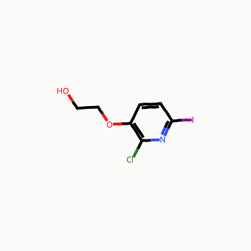 OCCOc1ccc(I)nc1Cl